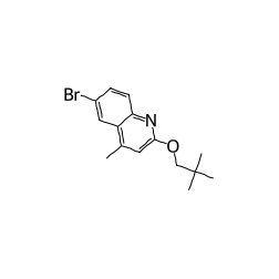 Cc1cc(OCC(C)(C)C)nc2ccc(Br)cc12